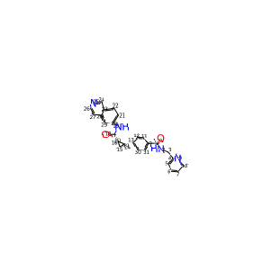 O=C(NCc1ccccn1)c1ccc([C@@H]2C[C@@H]2C(=O)Nc2ccc3cnccc3c2)cc1